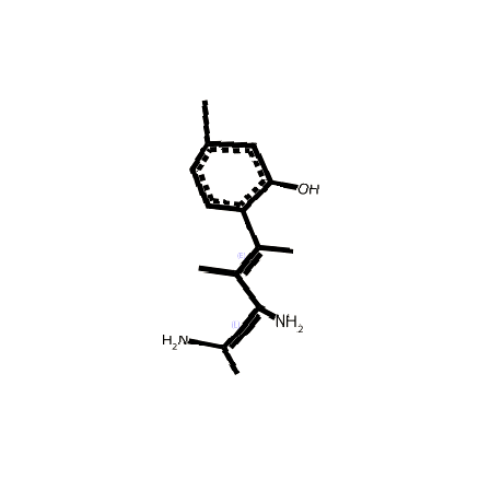 C/C(N)=C(N)/C(C)=C(\C)c1ccc(C)cc1O